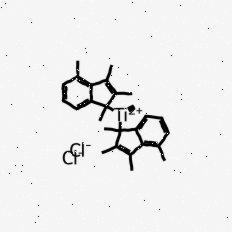 [CH2]=[Ti+2]([C]1(C)C(C)=C(C)c2c(C)cccc21)[C]1(C)C(C)=C(C)c2c(C)cccc21.[Cl-].[Cl-]